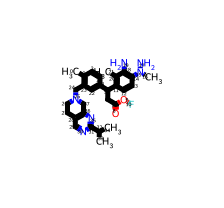 Cc1ccc(C(CC(=O)OF)c2ccc(N(C)N)c(N)c2C)cc1CN1CCc2cnc(C(C)C)nc2C1